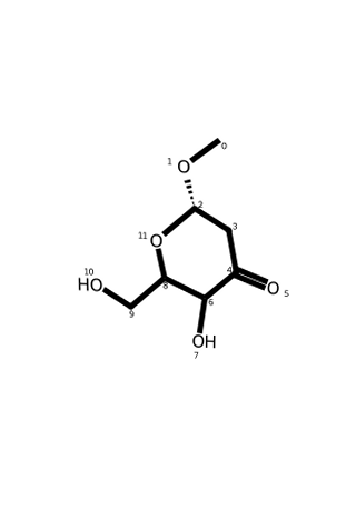 CO[C@@H]1CC(=O)C(O)C(CO)O1